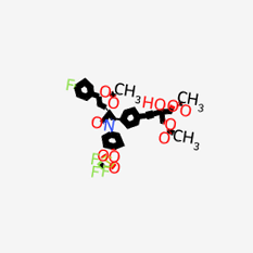 CC(=O)OCC(O)(C#Cc1ccc([C@@H]2[C@@H](CCC(OC(C)=O)c3ccc(F)cc3)C(=O)N2c2ccc(OS(=O)(=O)C(F)(F)F)cc2)cc1)COC(C)=O